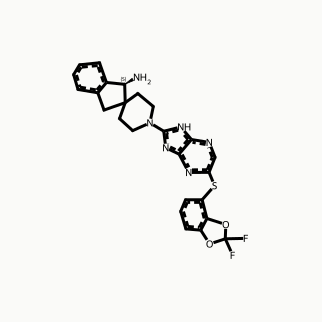 N[C@@H]1c2ccccc2CC12CCN(c1nc3nc(Sc4cccc5c4OC(F)(F)O5)cnc3[nH]1)CC2